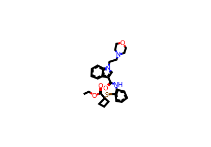 CCOC(=O)C1(Sc2ccccc2NC(=O)c2cn(CCN3CCOCC3)c3ccccc23)CCC1